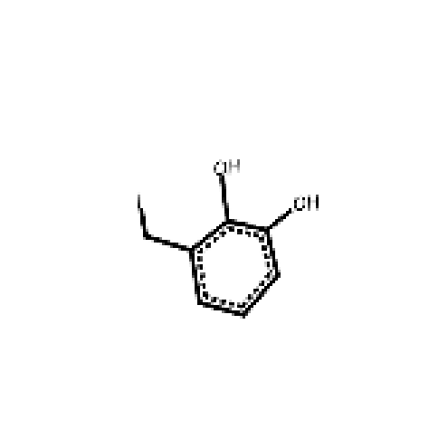 Oc1cccc(CI)c1O